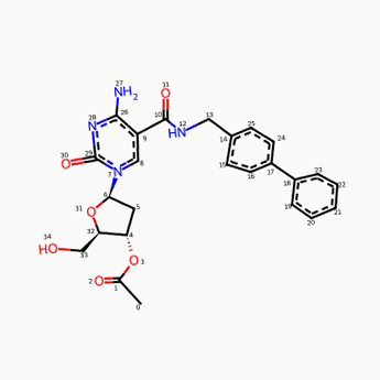 CC(=O)O[C@H]1C[C@H](n2cc(C(=O)NCc3ccc(-c4ccccc4)cc3)c(N)nc2=O)O[C@@H]1CO